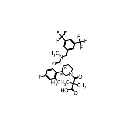 Cc1cc(F)ccc1[C@@H]1CN(C(=O)C(C)(C)C(=O)O)CC[C@H]1C(=O)N(C)Cc1cc(C(F)(F)F)cc(C(F)(F)F)c1